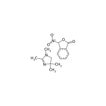 CC1=NC(C)(C)CN1C.O=C1OC([N+](=O)[O-])c2ccccc21